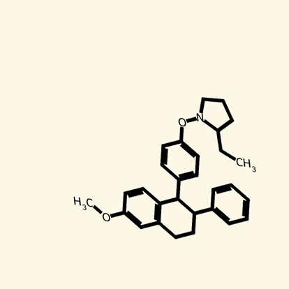 CCC1CCCN1Oc1ccc(C2c3ccc(OC)cc3CCC2c2ccccc2)cc1